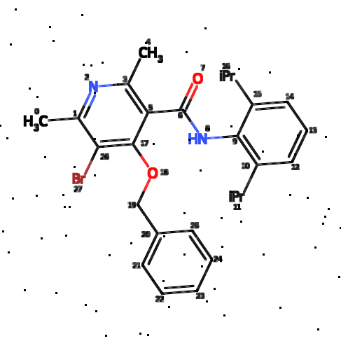 Cc1nc(C)c(C(=O)Nc2c(C(C)C)cccc2C(C)C)c(OCc2ccccc2)c1Br